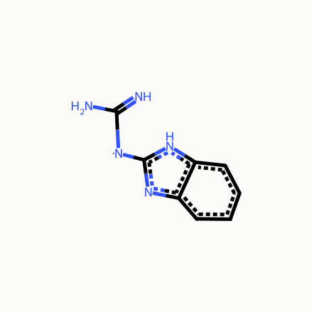 N=C(N)[N]c1nc2ccccc2[nH]1